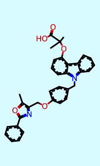 Cc1oc(-c2ccccc2)nc1COc1ccc(Cn2c3ccccc3c3c(OC(C)(C)C(=O)O)cccc32)cc1